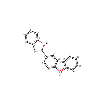 [c]1ccc2c(c1)CC(c1ccc3oc4ccccc4c3c1)O2